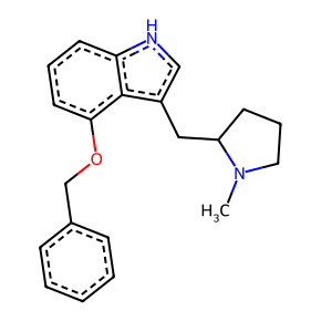 CN1CCCC1Cc1c[nH]c2cccc(OCc3ccccc3)c12